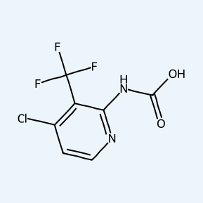 O=C(O)Nc1nccc(Cl)c1C(F)(F)F